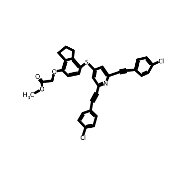 COC(=O)COc1ccc(Sc2cc(C#Cc3ccc(Cl)cc3)nc(C#Cc3ccc(Cl)cc3)c2)c2c1CCC2